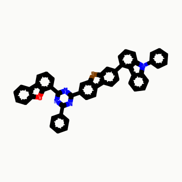 c1ccc(-c2nc(-c3ccc4c(c3)sc3cc(-c5cccc6c5c5ccccc5n6-c5ccccc5)ccc34)nc(-c3cccc4c3oc3ccccc34)n2)cc1